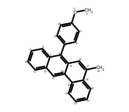 COc1ccc(-c2c3ccccc3cc3c2cc(C)c2ccccc23)cc1